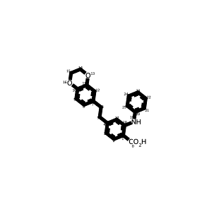 O=C(O)c1ccc(CCc2ccc3c(c2)OCCO3)cc1Nc1ccccc1